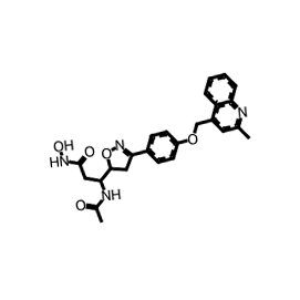 CC(=O)NC(CC(=O)NO)C1CC(c2ccc(OCc3cc(C)nc4ccccc34)cc2)=NO1